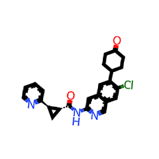 O=C1CCC(c2cc3cc(NC(=O)[C@@H]4C[C@H]4c4ccccn4)ncc3cc2Cl)CC1